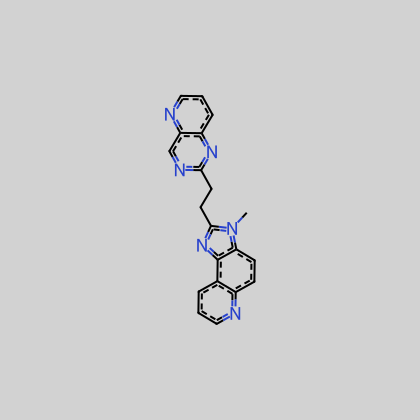 Cn1c(CCc2ncc3ncccc3n2)nc2c3cccnc3ccc21